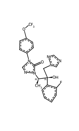 C[C@@H](n1ncn(-c2ccc(OC(F)(F)F)cc2)c1=O)[C@](O)(Cn1cncn1)c1ccccc1F